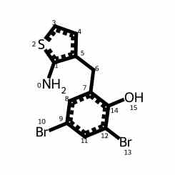 Nc1sccc1Cc1cc(Br)cc(Br)c1O